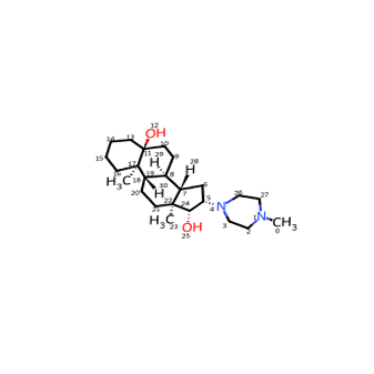 CN1CCN([C@H]2C[C@H]3[C@@H]4CC[C@@]5(O)CCCC[C@]5(C)[C@H]4CC[C@]3(C)[C@H]2O)CC1